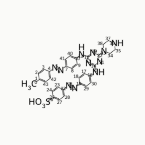 Cc1ccc(N=Nc2ccc(Nc3nc(Nc4ccc(N=Nc5ccc(S(=O)(=O)O)cc5)cc4)nc(N4CCNCC4)n3)cc2)cc1